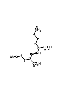 CSCC[C@H](NN[C@@H](CCCN)C(=O)O)C(=O)O